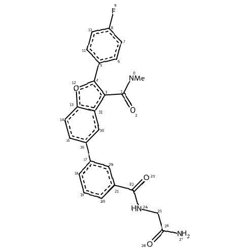 CNC(=O)c1c(-c2ccc(F)cc2)oc2ccc(-c3cccc(C(=O)NCC(N)=O)c3)cc12